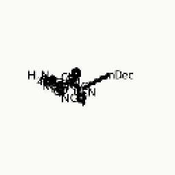 CCCCCCCCCCCCCCCCCCOC[C@H](COP(=O)(OC[C@H]1O[C@@](C#N)(c2ccc3c(N)ncnn23)[C@@H]2OC(C)(C)O[C@@H]21)Oc1ccccc1Cl)Oc1c(C#N)cc(C)cc1C#N